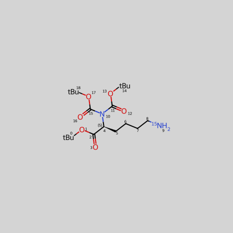 CC(C)(C)OC(=O)[C@H](CCCC[15NH2])N(C(=O)OC(C)(C)C)C(=O)OC(C)(C)C